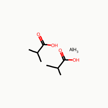 CC(C)C(=O)O.CC(C)C(=O)O.[AlH3]